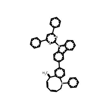 C=C1/C=C\C=C/CN(c2ccccc2)c2ccc(-c3ccc4c(c3)c3ccccc3n4-c3nc(-c4ccccc4)cc(-c4ccccc4)n3)cc21